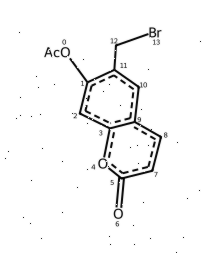 CC(=O)Oc1cc2oc(=O)ccc2cc1CBr